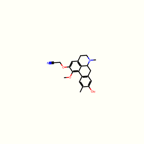 COc1c(OCC#N)cc2c3c1-c1cc(C)c(O)cc1CC3N(C)CC2